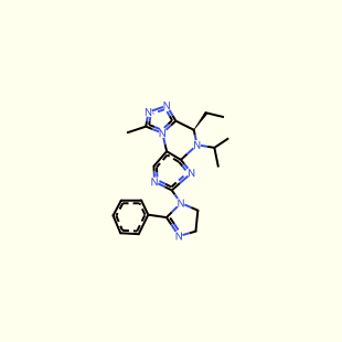 CC[C@@H]1c2nnc(C)n2-c2cnc(N3CCN=C3c3ccccc3)nc2N1C(C)C